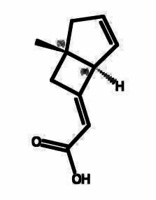 C[C@@]12CC=C[C@H]1C(=CC(=O)O)C2